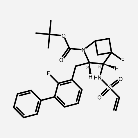 C=CS(=O)(=O)N[C@@H]1[C@H](Cc2cccc(-c3ccccc3)c2F)N(C(=O)OC(C)(C)C)C2CC1(F)C2